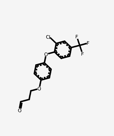 O=CCCOc1ccc(Oc2ccc(C(F)(F)F)cc2Cl)cc1